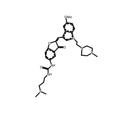 COc1ccc2c(c1)c(C=C1Oc3ccc(NC(=O)NCCCN(C)C)cc3C1=O)cn2CCN1CCN(C)CC1